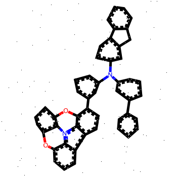 c1ccc(-c2cccc(N(c3cccc(-c4ccc5c6cccc7c6n6c5c4Oc4cccc(c4-6)O7)c3)c3ccc4c(c3)Cc3ccccc3-4)c2)cc1